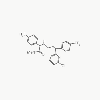 CNC(=O)[C@H](NCC[C@@H](c1ccc(C(F)(F)F)cc1)c1cccc(Cl)n1)c1ccc(C)cc1